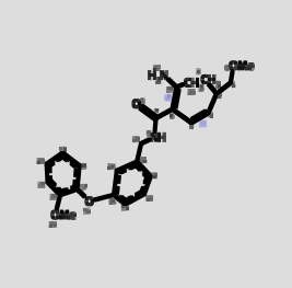 COCC(C)/C=C\C(C(=O)NCc1cccc(Oc2ccccc2OC)c1)=C(/C)N